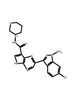 Cn1nc(-c2cnc3[nH]cc(C(=O)N[C@@H]4CCCOC4)c3n2)c2ccc(Cl)cc21